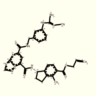 C=CCOC(=O)c1ccc2c(c1C)CC[C@@H]2NC(=O)c1cc(C(=O)NCc2cccc(NC(N)=NC#N)c2)nc2ncnn12